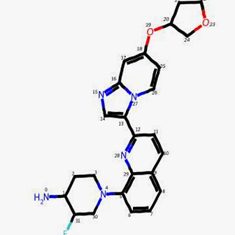 NC1CCN(c2cccc3ccc(-c4cnc5cc(OC6CCOC6)ccn45)nc23)CC1F